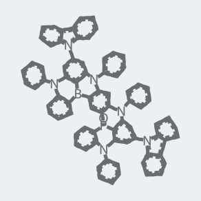 O=P12c3ccccc3N(c3ccccc3)c3cc(-n4c5ccccc5c5ccccc54)cc(c31)N(c1ccccc1)c1cc3c(cc12)B1c2ccccc2N(c2ccccc2)c2cc(-n4c5ccccc5c5ccccc54)cc(c21)N3c1ccccc1